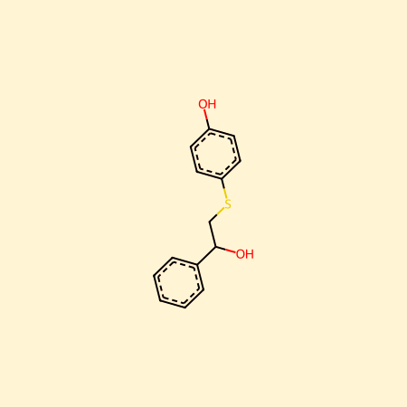 Oc1ccc(SCC(O)c2ccccc2)cc1